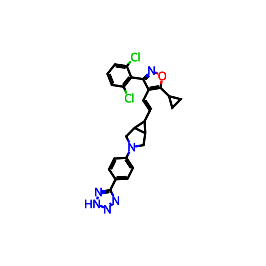 Clc1cccc(Cl)c1-c1noc(C2CC2)c1C=CC1C2CN(c3ccc(-c4nn[nH]n4)cc3)CC12